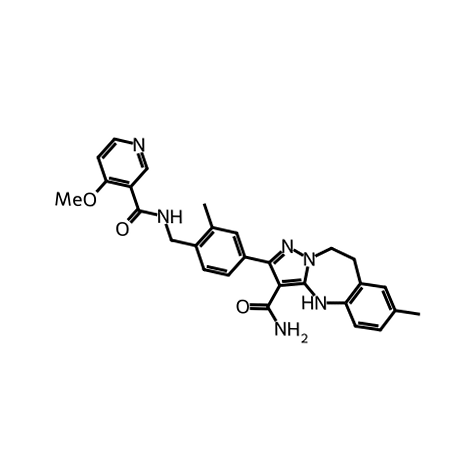 COc1ccncc1C(=O)NCc1ccc(-c2nn3c(c2C(N)=O)Nc2ccc(C)cc2CC3)cc1C